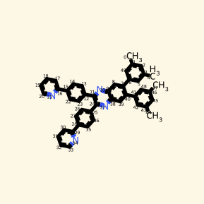 Cc1cc(C)cc(-c2cc3nc(-c4ccc(-c5ccccn5)cc4)c(-c4ccc(-c5ccccn5)cc4)nc3cc2-c2cc(C)cc(C)c2)c1